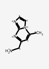 Cc1cc(CN)nc2nccn12